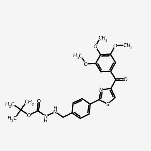 COc1cc(C(=O)c2csc(-c3ccc(CNNC(=O)OC(C)(C)C)cc3)n2)cc(OC)c1OC